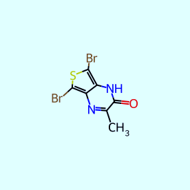 Cc1nc2c(Br)sc(Br)c2[nH]c1=O